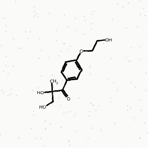 CC(O)(CO)C(=O)c1ccc(OCCO)cc1